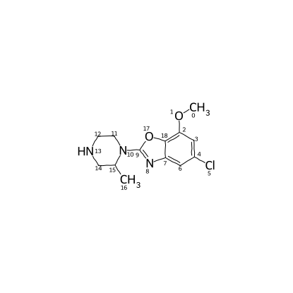 COc1cc(Cl)cc2nc(N3CCNCC3C)oc12